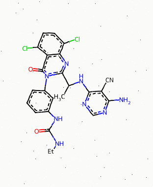 CCNC(=O)Nc1cccc(-n2c(C(C)Nc3ncnc(N)c3C#N)nc3c(Cl)ccc(Cl)c3c2=O)c1